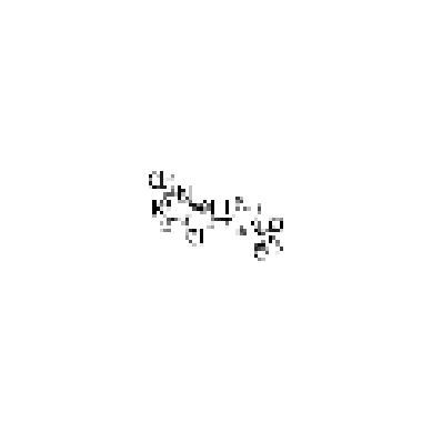 CS(=O)(=O)N1CCC(CNc2nc(Cl)ncc2Cl)C1